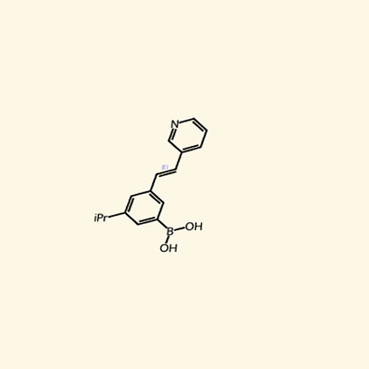 CC(C)c1cc(/C=C/c2cccnc2)cc(B(O)O)c1